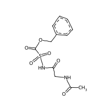 CC(=O)NCC(=O)NS(=O)(=O)C(=O)OCc1ccccc1